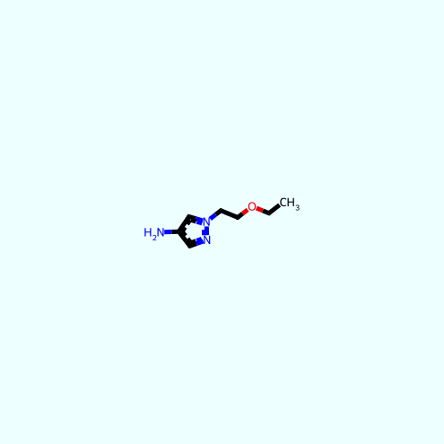 CCOCCn1cc(N)cn1